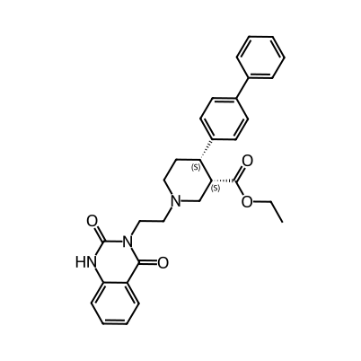 CCOC(=O)[C@@H]1CN(CCn2c(=O)[nH]c3ccccc3c2=O)CC[C@@H]1c1ccc(-c2ccccc2)cc1